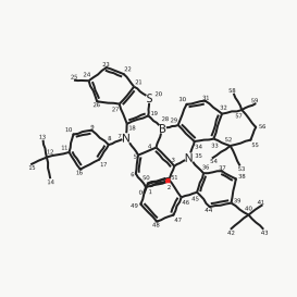 Cc1cc2c3c(c1)N(c1ccc(C(C)(C)C)cc1)c1c(sc4ccc(C)cc14)B3c1ccc3c(c1N2c1ccc(C(C)(C)C)cc1-c1ccccc1)C(C)(C)CCC3(C)C